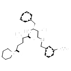 COc1cccc(CNC[C@@H](O)[C@H](Cc2ccccc2)NC(=O)[C@@H](N)CCC(=O)N2CCCCC2)c1